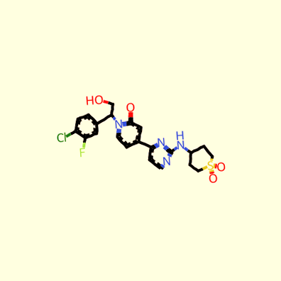 O=c1cc(-c2ccnc(NC3CCS(=O)(=O)CC3)n2)ccn1C(CO)c1ccc(Cl)c(F)c1